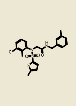 Cc1cccc(CNC(=O)CN(c2cccc(Cl)c2C)S(=O)(=O)c2ccc(C)s2)c1